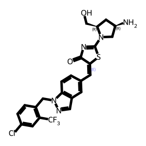 N[C@@H]1C[C@H](CO)N(C2=NC(=O)/C(=C\c3ccc4c(cnn4Cc4ccc(Cl)cc4C(F)(F)F)c3)S2)C1